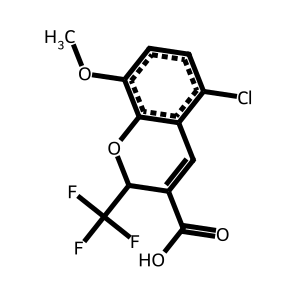 COc1ccc(Cl)c2c1OC(C(F)(F)F)C(C(=O)O)=C2